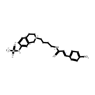 O=C(/C=C/c1ccc([N+](=O)[O-])cc1)NCCCCN1CCc2ccc(OS(=O)(=O)C(F)(F)F)cc2C1